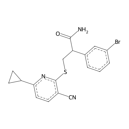 N#Cc1ccc(C2CC2)nc1SCC(C(N)=O)c1cccc(Br)c1